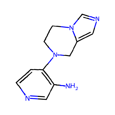 Nc1cnccc1N1CCn2cncc2C1